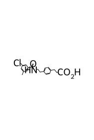 Cc1cc(Cl)cc(C(=O)NCCc2ccc(CCC(=O)O)cc2)c1